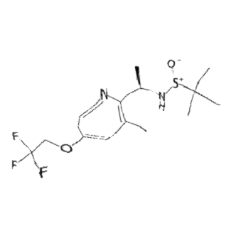 Cc1cc(OCC(F)(F)F)cnc1[C@@H](C)N[S@+]([O-])C(C)(C)C